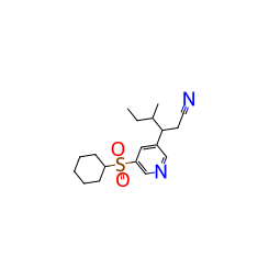 CCC(C)C(CC#N)c1cncc(S(=O)(=O)C2CCCCC2)c1